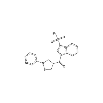 CC(C)S(=O)(=O)n1cc(C(=O)C2CSN(c3cccnc3)C2)c2ccccc21